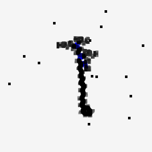 CCN(CC)C(CCCCCCCCCCCc1ccccc1)CN(CCN(CC(=O)O)CC(=O)O)CC(=O)O